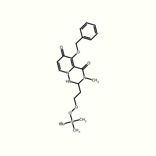 CN1C(=O)c2c(OCc3ccccc3)c(=O)ccn2NC1CCOO[Si](C)(C)C(C)(C)C